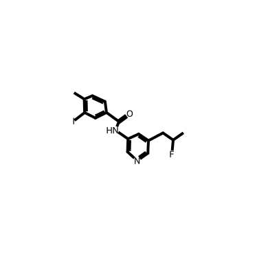 Cc1ccc(C(=O)Nc2cncc(CC(C)F)c2)cc1I